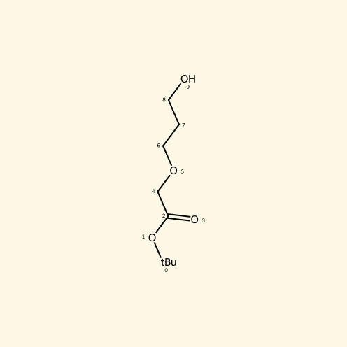 CC(C)(C)OC(=O)COCCCO